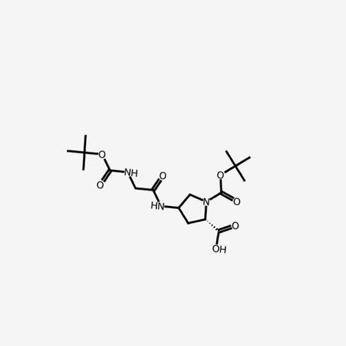 CC(C)(C)OC(=O)NCC(=O)NC1C[C@@H](C(=O)O)N(C(=O)OC(C)(C)C)C1